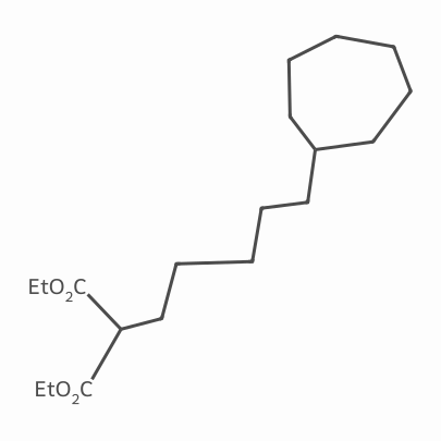 CCOC(=O)C(CCCCCC1CCCCCC1)C(=O)OCC